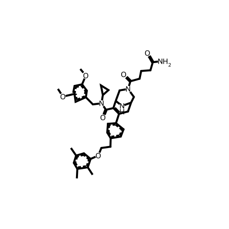 COc1cc(CN(C(=O)C2=C(c3ccc(CCOc4cc(C)cc(C)c4C)cc3)CC3CN(C(=O)CCCC(N)=O)CC2N3)C2CC2)cc(OC)c1